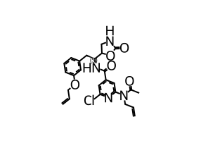 C=CCOc1cccc(C[C@H](NC(=O)c2cc(Cl)nc(N(CC=C)C(C)=O)c2)C2CNC(=O)O2)c1